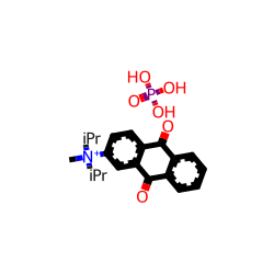 CC(C)[N+](C)(c1ccc2c(c1)C(=O)c1ccccc1C2=O)C(C)C.O=P(O)(O)O